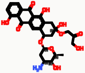 C[C@H]1O[C@@H](OC2C[C@@](O)(OCC(=O)CO)Cc3c2cc2c(c3O)C(=O)c3cccc(O)c3C2=O)C[C@H](N)[C@H]1O